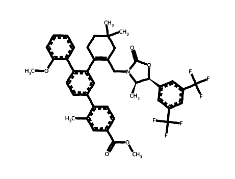 COC(=O)c1ccc(-c2ccc(-c3ccccc3OC)c(C3=C(CN4C(=O)O[C@@H](c5cc(C(F)(F)F)cc(C(F)(F)F)c5)[C@H]4C)CC(C)(C)CC3)c2)c(C)c1